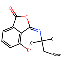 CSCC(C)(C)/N=C1/OC(=O)c2cccc(Br)c21